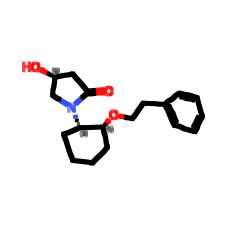 O=C1C[C@H](O)CN1[C@H]1CCCC[C@@H]1OCCc1ccccc1